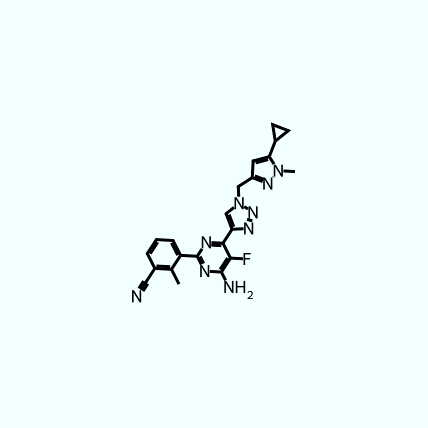 Cc1c(C#N)cccc1-c1nc(N)c(F)c(-c2cn(Cc3cc(C4CC4)n(C)n3)nn2)n1